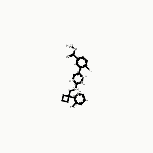 COC(=O)c1ccc(F)c(-c2cnc(NCC3(c4ncccc4Cl)CCC3)nn2)c1